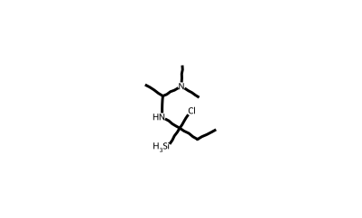 CCC([SiH3])(Cl)NC(C)N(C)C